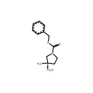 C[C@@]1(C(=O)O)CCN(C(=O)OCc2ccccc2)C1